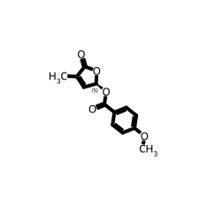 COc1ccc(C(=O)O[C@H]2C=C(C)C(=O)O2)cc1